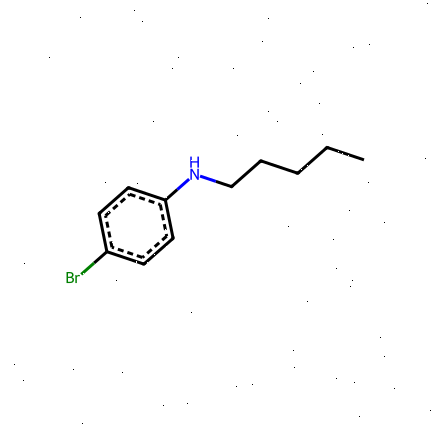 CCCCCNc1ccc(Br)cc1